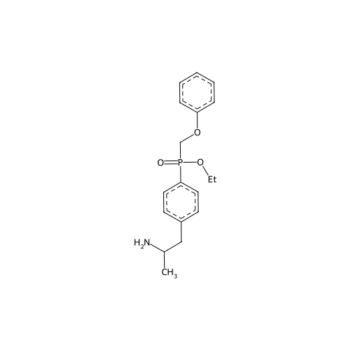 CCOP(=O)(COc1ccccc1)c1ccc(CC(C)N)cc1